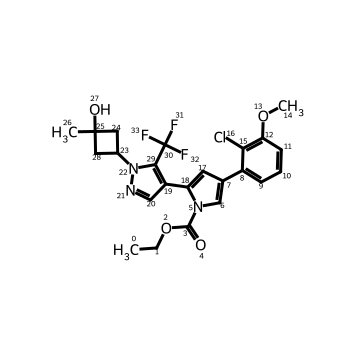 CCOC(=O)n1cc(-c2cccc(OC)c2Cl)cc1-c1cnn(C2CC(C)(O)C2)c1C(F)(F)F